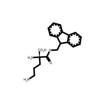 NCCC[C@@](N)(C(=O)O)C(=O)OCC1c2ccccc2-c2ccccc21